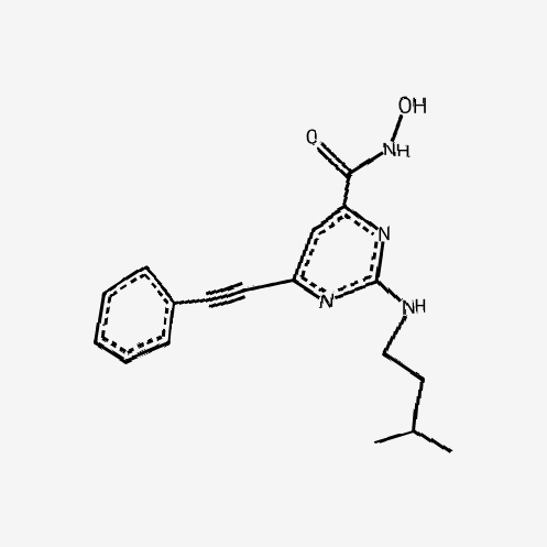 CC(C)CCNc1nc(C#Cc2ccccc2)cc(C(=O)NO)n1